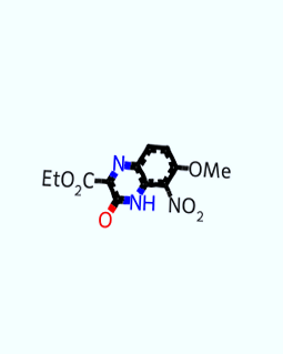 CCOC(=O)c1nc2ccc(OC)c([N+](=O)[O-])c2[nH]c1=O